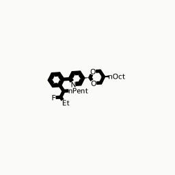 CCCCCCCC[C@H]1CO[C@H](c2ccc(-c3ccccc3C(CCCCC)C(F)CC)nc2)OC1